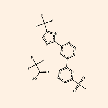 CS(=O)(=O)c1cncc(-c2ccnc(-c3ncc(C(F)(F)F)[nH]3)c2)c1.O=C(O)C(F)(F)F